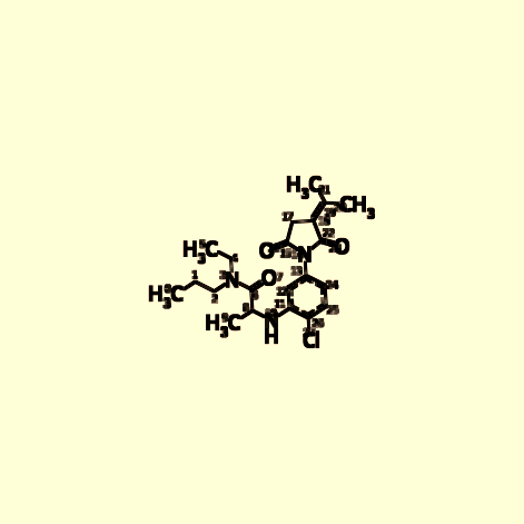 CCCN(CC)C(=O)C(C)Nc1cc(N2C(=O)CC(=C(C)C)C2=O)ccc1Cl